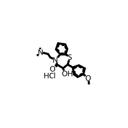 COc1ccc(C2Sc3ccccc3N(CCN(C)C)C(=O)C2O)cc1.Cl